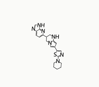 c1nc2ccc(C3CNc4cc(-c5cnc(N6CCCCC6)s5)cn4C3)nc2[nH]1